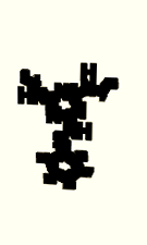 CCNc1nc(NCC)nc(NSc2ccccc2)n1